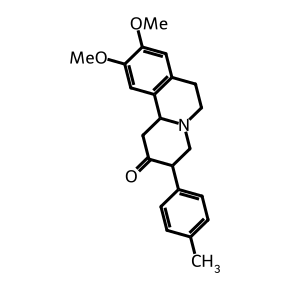 COc1cc2c(cc1OC)C1CC(=O)C(c3ccc(C)cc3)CN1CC2